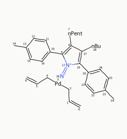 C=C[CH2][Pd][CH2]C=C.CCCCCC1=C(c2ccc(C)cc2)[N+](=[N-])C(c2ccc(C)cc2)=C1CCCC